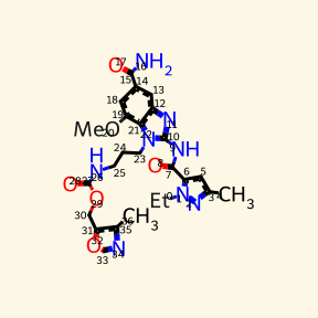 CCn1nc(C)cc1C(=O)Nc1nc2cc(C(N)=O)cc(OC)c2n1CCCNC(=O)OCc1ocnc1C